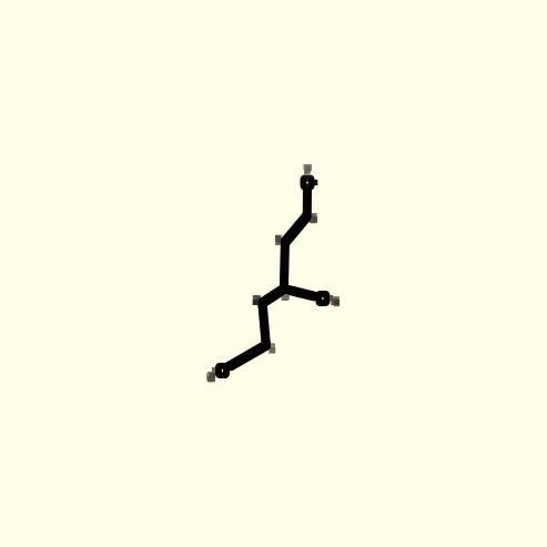 [O]CCC([O])CC[O]